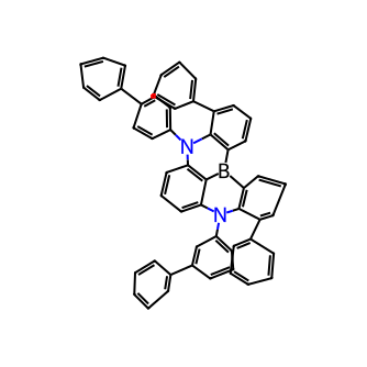 c1ccc(-c2ccc(N3c4cccc5c4B(c4cccc(-c6ccccc6)c43)c3cccc(-c4ccccc4)c3N5c3cccc(-c4ccccc4)c3)cc2)cc1